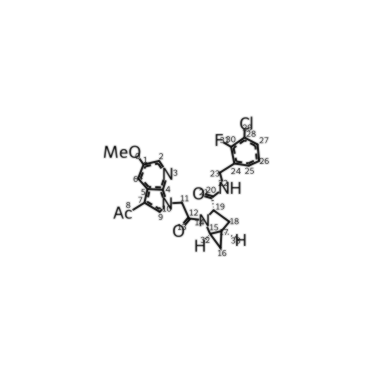 COc1cnc2c(c1)c(C(C)=O)cn2CC(=O)N1[C@@H]2C[C@@H]2C[C@H]1C(=O)NCc1cccc(Cl)c1F